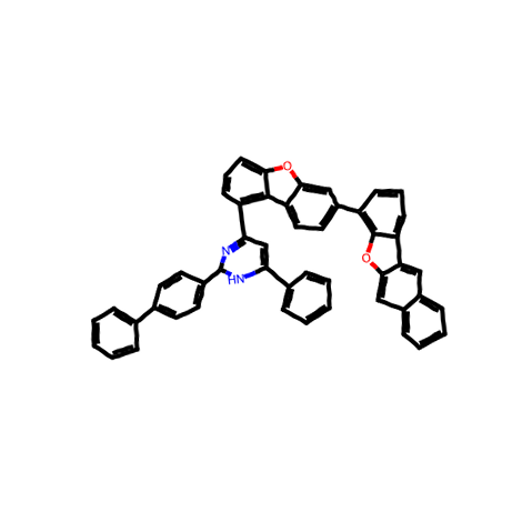 C1=C(c2ccccc2)NC(c2ccc(-c3ccccc3)cc2)N=C1c1cccc2oc3cc(-c4cccc5c4oc4cc6ccccc6cc45)ccc3c12